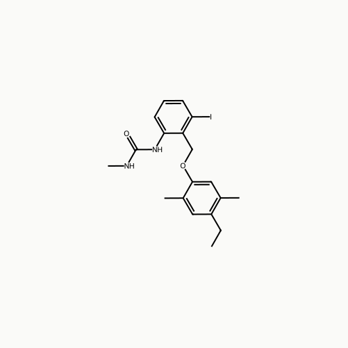 CCc1cc(C)c(OCc2c(I)cccc2NC(=O)NC)cc1C